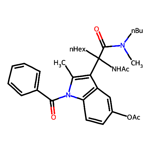 CCCCCCC(NC(C)=O)(C(=O)N(C)CCCC)c1c(C)n(C(=O)c2ccccc2)c2ccc(OC(C)=O)cc12